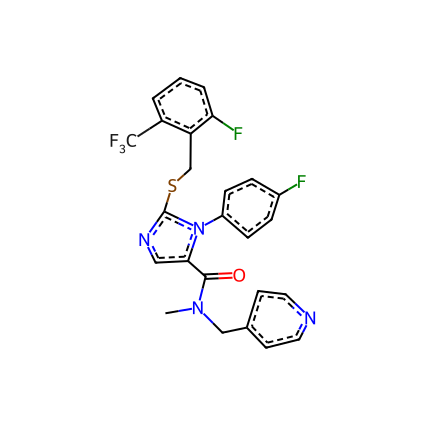 CN(Cc1ccncc1)C(=O)c1cnc(SCc2c(F)cccc2C(F)(F)F)n1-c1ccc(F)cc1